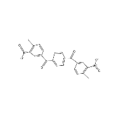 O=C(c1ccc(C(=O)c2ccc(I)c([N+](=O)[O-])c2)cc1)c1ccc(I)c([N+](=O)[O-])c1